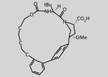 CO[C@@]12C[C@@H](C(=O)O)N(C1)C(=O)[C@H](C(C)(C)C)NC(=O)OCCCCCCc1ccccc1-c1ccc2cc1